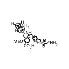 COc1c(C[C@H](NC(=O)Cn2cc(CNS(=O)(=O)CCN)nn2)B2O[C@@H]3C[C@@H]4C[C@@H](C4(C)C)[C@]3(C)O2)cccc1C(=O)O